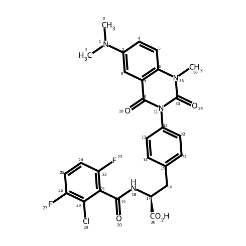 CN(C)c1ccc2c(c1)c(=O)n(-c1ccc(C[C@H](NC(=O)c3c(F)ccc(F)c3Cl)C(=O)O)cc1)c(=O)n2C